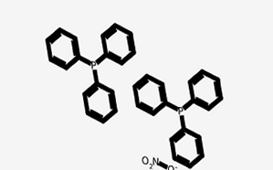 O=[N+]([O-])[O-].[Cu+].c1ccc(P(c2ccccc2)c2ccccc2)cc1.c1ccc(P(c2ccccc2)c2ccccc2)cc1